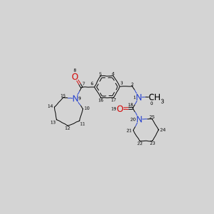 CN(Cc1ccc(C(=O)N2CCCCCC2)cc1)C(=O)N1CCCCC1